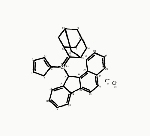 C1=CC[C]([Zr+2](=[C]2C3CC4CC(C3)CC2C4)[CH]2c3ccccc3-c3ccc4ccccc4c32)=C1.[Cl-].[Cl-]